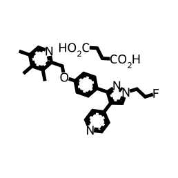 Cc1cnc(COc2ccc(-c3nn(CCF)cc3-c3ccncc3)cc2)c(C)c1C.O=C(O)CCC(=O)O